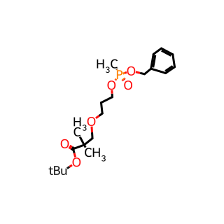 CC(C)(C)OC(=O)C(C)(C)COCCCOP(C)(=O)OCc1ccccc1